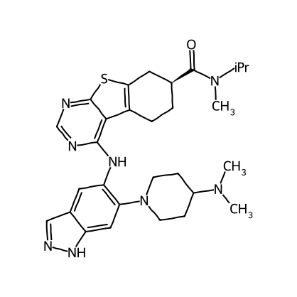 CC(C)N(C)C(=O)[C@H]1CCc2c(sc3ncnc(Nc4cc5cn[nH]c5cc4N4CCC(N(C)C)CC4)c23)C1